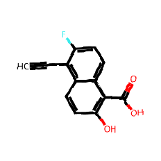 C#Cc1c(F)ccc2c(C(=O)O)c(O)ccc12